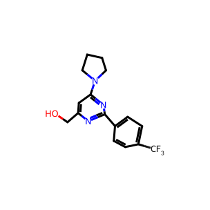 OCc1cc(N2CCCC2)nc(-c2ccc(C(F)(F)F)cc2)n1